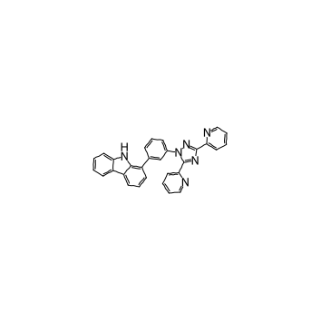 c1ccc(-c2nc(-c3ccccn3)n(-c3cccc(-c4cccc5c4[nH]c4ccccc45)c3)n2)nc1